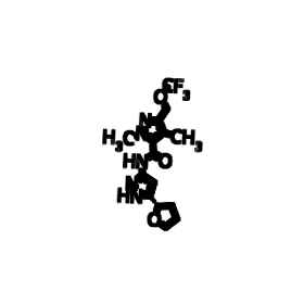 Cc1c(COC(F)(F)F)nn(C)c1C(=O)Nc1cc([C@@H]2CCCO2)[nH]n1